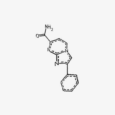 NC(=O)c1ccn2cc(-c3ccccc3)nc2n1